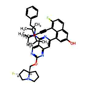 CC(C)[Si](C#Cc1c(F)ccc2cc(O)cc(-c3cc4nc(OC[C@@]56CCCN5C[C@H](F)C6)ncc4c(N(C)CCc4ccccc4)n3)c12)(C(C)C)C(C)C